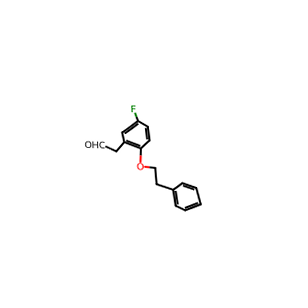 O=CCc1cc(F)ccc1OCCc1ccccc1